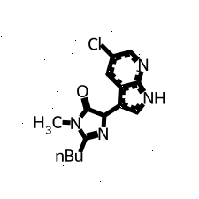 CCCCC1=NC(c2c[nH]c3ncc(Cl)cc23)C(=O)N1C